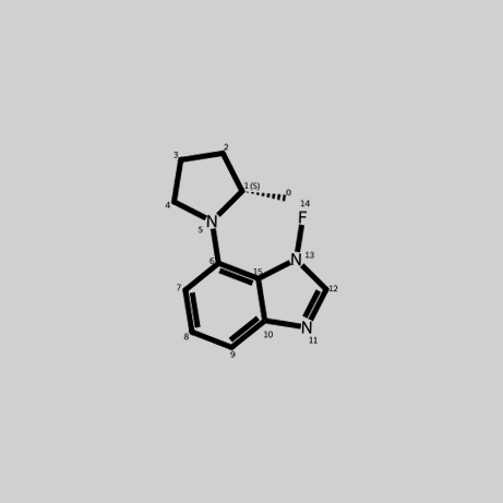 C[C@H]1CCCN1c1cccc2ncn(F)c12